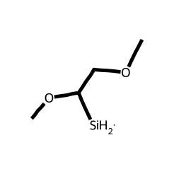 COCC([SiH2])OC